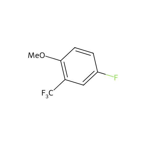 COc1ccc(F)cc1C(F)(F)F